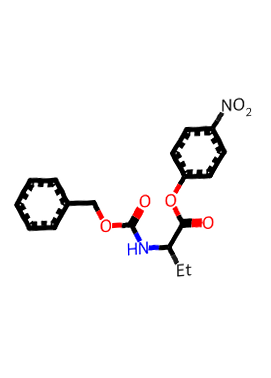 CCC(NC(=O)OCc1ccccc1)C(=O)Oc1ccc([N+](=O)[O-])cc1